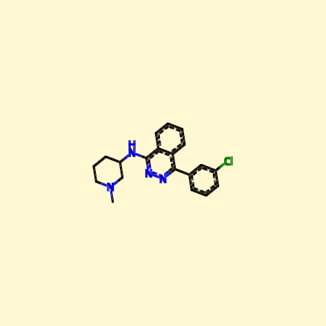 CN1CCCC(Nc2nnc(-c3cccc(Cl)c3)c3ccccc23)C1